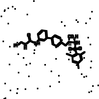 Cc1cc(C)c(S(=O)(=O)N[C@H](Cc2ccc(-c3cccc(NC(=O)NCC(C)C)c3)cc2)C(=O)O)c(C)c1